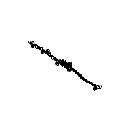 O=C(O)CCCCCCCCCCCCCCCCCc1cccc(S(=O)(=O)Nc2ncc(C(=O)NCCOCCOCC(=O)NCCOCCOCC(=O)O)cn2)c1